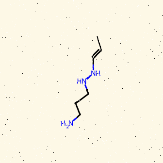 CC=CNNCCCN